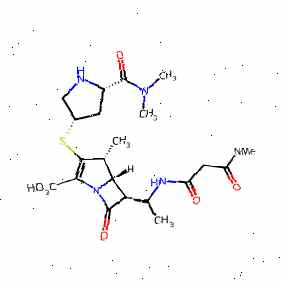 CNC(=O)CC(=O)NC(C)[C@H]1C(=O)N2C(C(=O)O)=C(S[C@@H]3CN[C@H](C(=O)N(C)C)C3)[C@H](C)[C@H]12